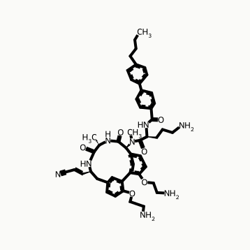 CCCCc1ccc(-c2ccc(C(=O)N[C@@H](CCCN)C(=O)N(C)[C@@H]3C(=O)N[C@@H](C)C(=O)N[C@H](/C=C/C#N)Cc4ccc(OCCN)c(c4)-c4cc3ccc4OCCN)cc2)cc1